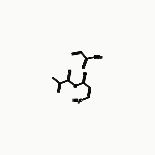 C=C(C)C(=O)OC(=O)/C=C\C(=O)O.C=CC(=O)OC